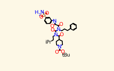 CC(C)CCN(C(=O)C1CCN(C(=O)OC(C)(C)C)CC1)C(=O)N(CCCc1ccccc1)C(=O)c1nc2cc(S(N)(=O)=O)ccc2o1